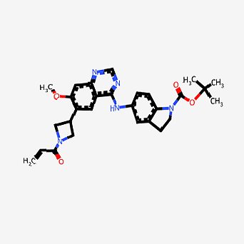 C=CC(=O)N1CC(c2cc3c(Nc4ccc5c(c4)CCN5C(=O)OC(C)(C)C)ncnc3cc2OC)C1